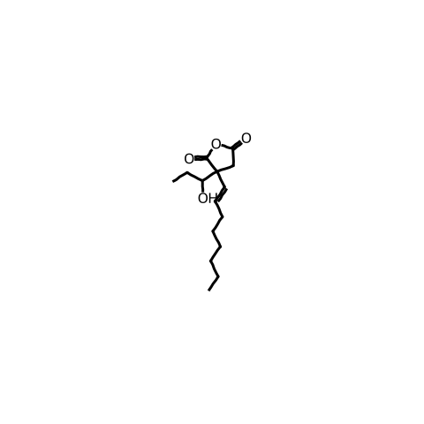 CCCCCCC=CC1(C(O)CC)CC(=O)OC1=O